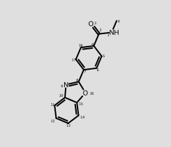 CNC(=O)c1ccc(-c2nc3ccccc3o2)cc1